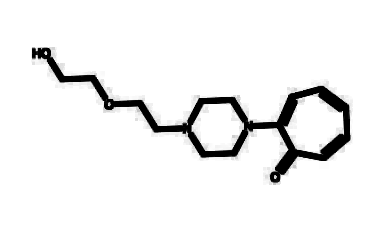 O=c1cccccc1N1CCN(CCOCCO)CC1